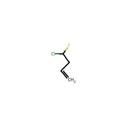 C=CC[C](F)Cl